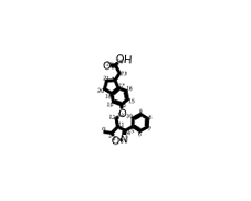 CC1ON=C(c2ccccc2)C1COc1ccc2c(c1)CCC2CC(=O)O